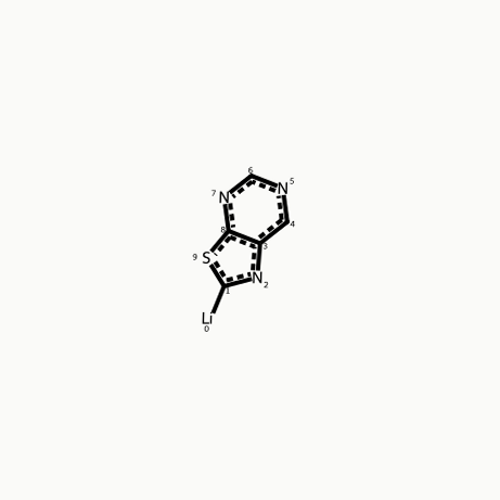 [Li][c]1nc2cncnc2s1